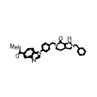 CNC(=O)c1ccc2c(c1)ncn2-c1ccc(CN2CCC3CN(Cc4ccccc4)NC3C2=O)cc1